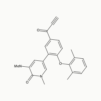 C#CC(=O)c1ccc(Oc2c(C)cccc2C)c(-c2cc(NC)c(=O)n(C)c2)c1